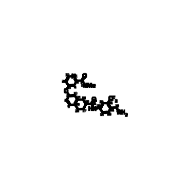 CNC(=O)c1cc(Oc2ccc3c(c2)CC(C(=O)Nc2ccc(CN)c(C(F)(F)F)c2)CC3)ccn1